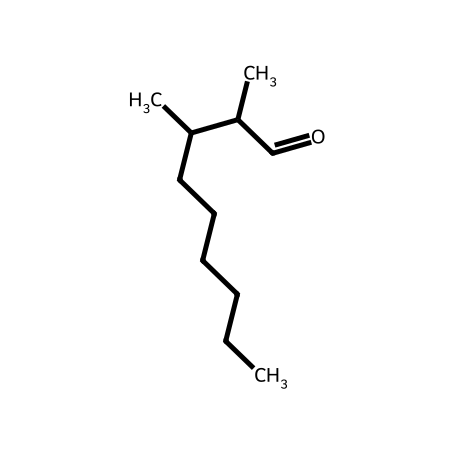 CCCCCCC(C)C(C)C=O